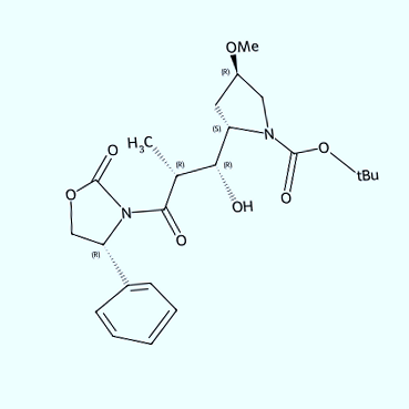 CO[C@@H]1C[C@@H]([C@H](O)[C@@H](C)C(=O)N2C(=O)OC[C@H]2c2ccccc2)N(C(=O)OC(C)(C)C)C1